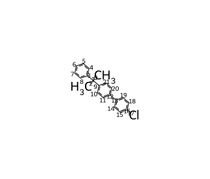 CC(C)(c1ccccc1)c1ccc(-c2ccc(Cl)cc2)cc1